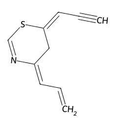 C#C/C=C1\C/C(=C\C=C)N=CS1